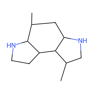 CC1CC2NCC(C)C2C2CCNC12